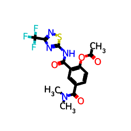 CC(=O)Oc1ccc(C(=O)N(C)C)cc1C(=O)Nc1nc(C(F)(F)F)ns1